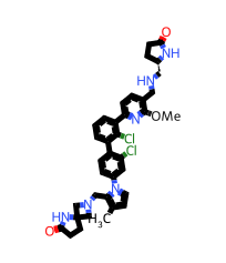 COc1nc(-c2cccc(-c3ccc(-n4ccc(C)c4CN4CC5(CCC(=O)N5)C4)cc3Cl)c2Cl)ccc1CNC[C@@H]1CCC(=O)N1